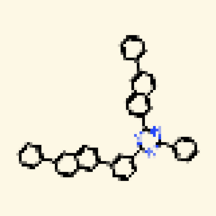 c1ccc(-c2ccc3cc(-c4cccc(-c5nc(-c6ccccc6)nc(-c6ccc7cc(-c8ccccc8)ccc7c6)n5)c4)ccc3c2)cc1